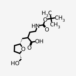 CC(C)(C)OC(=O)NCCC(C[C@H]1CC[C@@H](CO)O1)C(=O)O